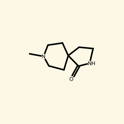 CN1CCC2(CCNC2=O)CC1